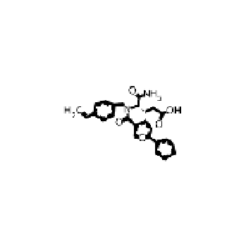 C=Cc1ccc(CN(C(=O)c2ccc(-c3ccccc3)cc2)[C@@H](CCC(=O)O)C(N)=O)cc1